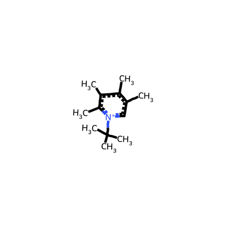 Cc1c[n+](C(C)(C)C)c(C)c(C)c1C